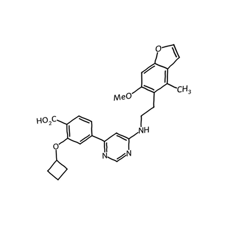 COc1cc2occc2c(C)c1CCNc1cc(-c2ccc(C(=O)O)c(OC3CCC3)c2)ncn1